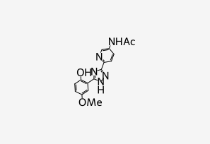 COc1ccc(O)c(-c2nc(-c3ccc(NC(C)=O)cn3)n[nH]2)c1